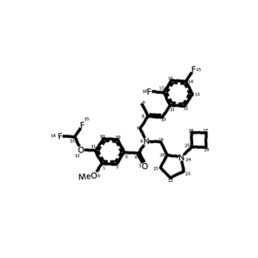 COc1cc(C(=O)N(CC(C)=Cc2ccc(F)cc2F)CC2CCCN2C2CCC2)ccc1OC(F)F